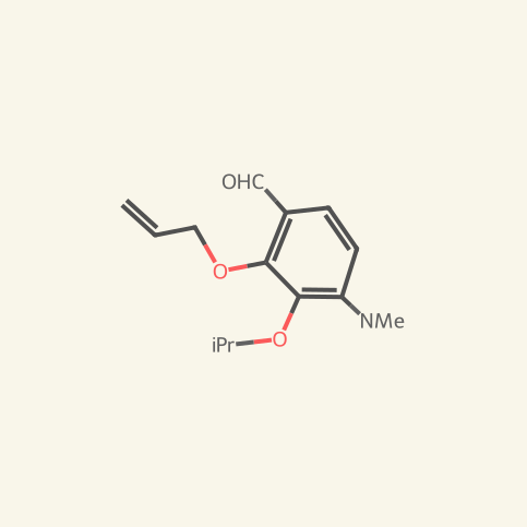 C=CCOc1c(C=O)ccc(NC)c1OC(C)C